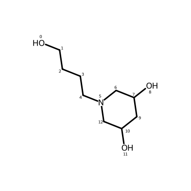 OCCCCN1CC(O)CC(O)C1